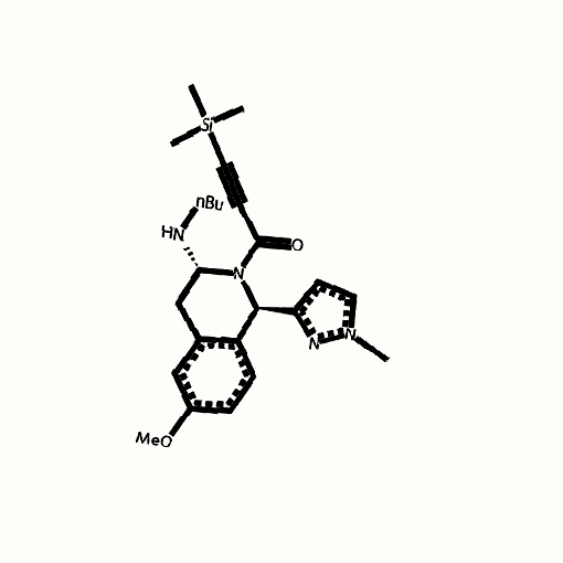 CCCCN[C@H]1Cc2cc(OC)ccc2[C@H](c2ccn(C)n2)N1C(=O)C#C[Si](C)(C)C